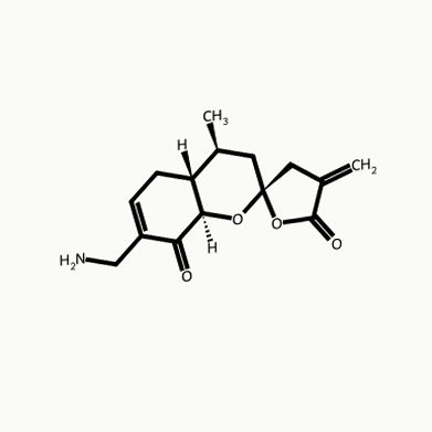 C=C1C[C@@]2(C[C@H](C)[C@H]3CC=C(CN)C(=O)[C@@H]3O2)OC1=O